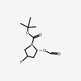 CC(C)(C)OC(=O)N1CC(F)C[C@H]1OC=O